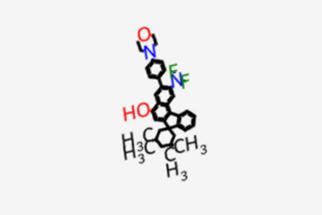 CC1(C)CC(C)(C)CC2(C1)c1ccccc1-c1c2cc(O)c2cc(-c3ccc(N4CCOCC4)cc3)c(N(F)F)cc12